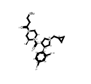 C[C@H]1CN(C(=O)CCC(C)(C)C)CCN1C(=O)[C@@H]1CN(CC2CC2)C[C@H]1c1ccc(F)cc1F